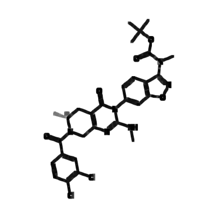 CNc1nc2c(c(=O)n1-c1ccc3c(N(C)C(=O)OC(C)(C)C)noc3c1)C[C@@H](C)N(C(=O)c1ccc(Cl)c(Cl)c1)C2